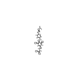 CC(C)ON=Cc1ccc(COc2c(Cl)cc(OCC=C(Cl)Cl)cc2Cl)cc1